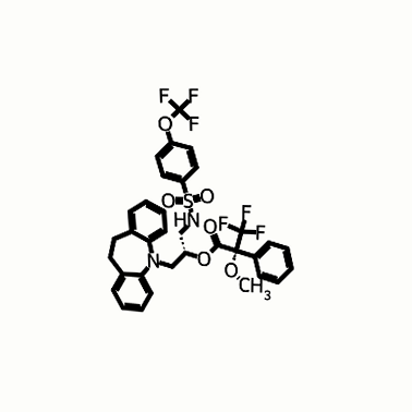 CO[C@@](C(=O)O[C@@H](CNS(=O)(=O)c1ccc(OC(F)(F)F)cc1)CN1c2ccccc2CCc2ccccc21)(c1ccccc1)C(F)(F)F